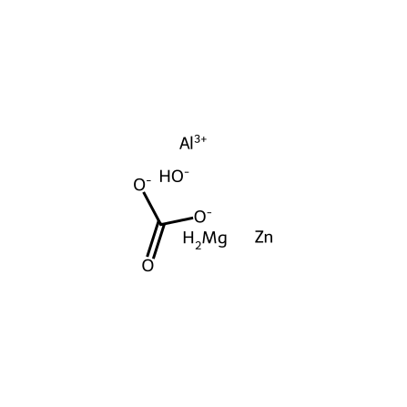 O=C([O-])[O-].[Al+3].[MgH2].[OH-].[Zn]